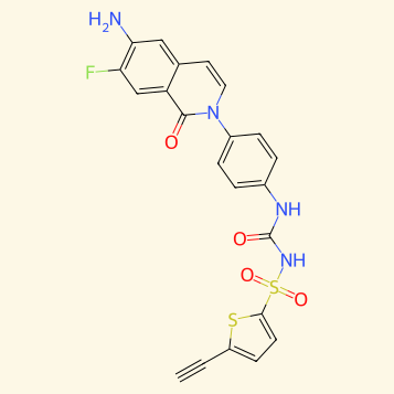 C#Cc1ccc(S(=O)(=O)NC(=O)Nc2ccc(-n3ccc4cc(N)c(F)cc4c3=O)cc2)s1